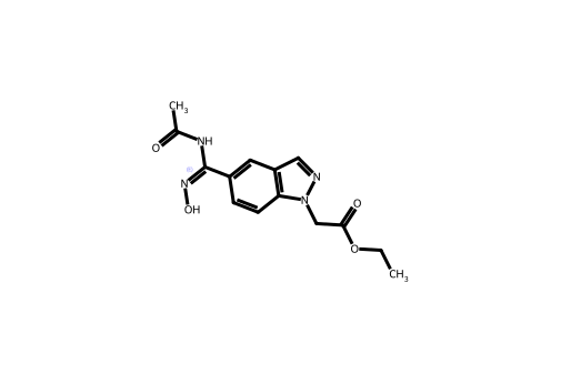 CCOC(=O)Cn1ncc2cc(/C(=N\O)NC(C)=O)ccc21